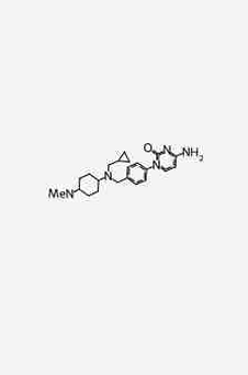 CNC1CCC(N(Cc2ccc(-n3ccc(N)nc3=O)cc2)CC2CC2)CC1